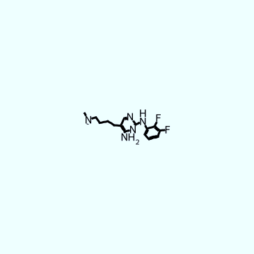 CN(C)CCCCc1cnc(Nc2cccc(F)c2F)nc1N